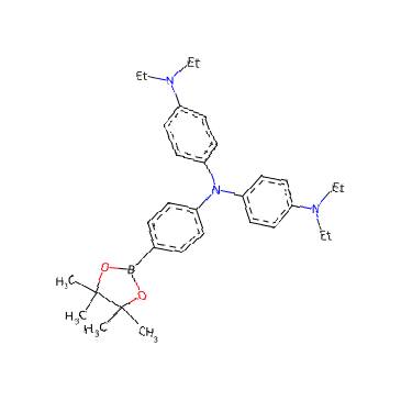 CCN(CC)c1ccc(N(c2ccc(B3OC(C)(C)C(C)(C)O3)cc2)c2ccc(N(CC)CC)cc2)cc1